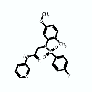 COc1ccc(C)c(N(CC(=O)Nc2cccnc2)S(=O)(=O)c2ccc(F)cc2)c1